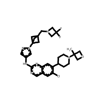 CC1(N2CCC(c3cc4nc(Nc5cnn(C67CC(CN8CC(F)(F)C8)(C6)C7)c5)ncc4cc3Cl)CC2)COC1